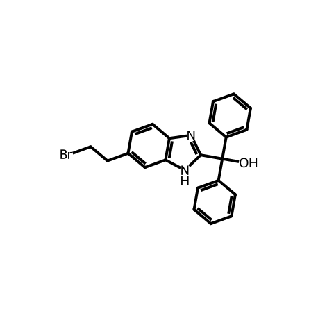 OC(c1ccccc1)(c1ccccc1)c1nc2ccc(CCBr)cc2[nH]1